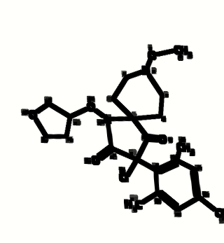 CON1CCC2(CC1)C(=O)C(Cl)(c1c(C)cc(C)cc1C)C(=O)N2OC1CCOC1